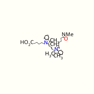 CNC(=O)CCCCC[N+]1=C(/C=C/C=C2/N(CCCCCC(=O)O)c3ccccc3C2(C)C)C(C)(C)c2ccccc21